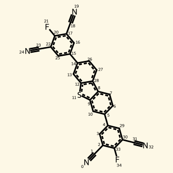 N#Cc1cc(-c2ccc3c(c2)sc2cc(-c4cc(C#N)c(F)c(C#N)c4)ccc23)cc(C#N)c1F